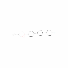 CCCC1CCC(c2ccc(-c3ccc(-c4ccc(F)cc4)cc3)cc2)OC1